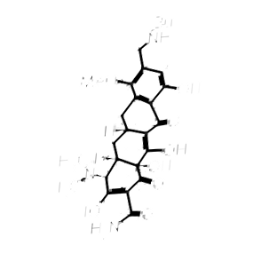 CCC(C)NCc1cc(O)c2c(c1OC)C[C@H]1C[C@H]3[C@H](N(C)C)C(O)=C(C(N)=O)C(=O)[C@@]3(O)C(O)=C1C2=O